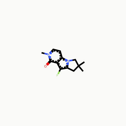 Cn1ccc2c(c(F)c3n2CC(C)(C)C3)c1=O